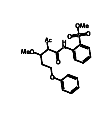 COC(CCOc1ccccc1)C(C(C)=O)C(=O)Nc1ccccc1S(=O)(=O)OC